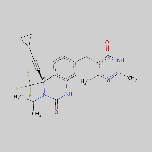 Cc1nc(C)c(Cc2ccc3c(c2)NC(=O)N(C(C)C)[C@]3(C#CC2CC2)C(F)(F)F)c(=O)[nH]1